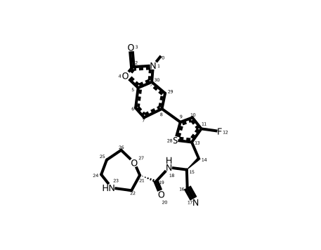 Cn1c(=O)oc2ccc(-c3cc(F)c(C[C@@H](C#N)NC(=O)[C@@H]4CNCCCO4)s3)cc21